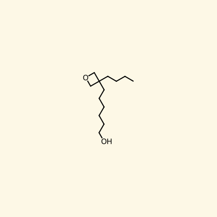 CCCCC1(CCCCCCO)COC1